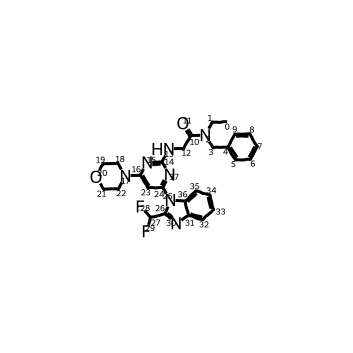 CCN(Cc1ccccc1)C(=O)CNc1nc(N2CCOCC2)cc(-n2c(C(F)F)nc3ccccc32)n1